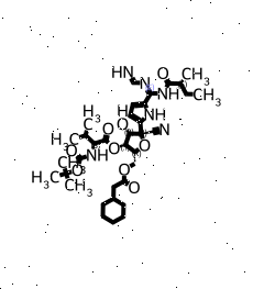 CC[C@H](C)C(=O)N/C(=N/C=N)c1ccc([C@]2(C#N)O[C@H](COC(=O)CC3CCCCC3)[C@@H](OC(=O)[C@@H](NC(=O)OC(C)(C)C)C(C)C)[C@H]2O)[nH]1